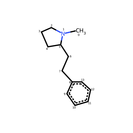 CN1CCCC1CCc1c[c]ccc1